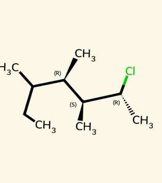 CCC(C)[C@@H](C)[C@H](C)[C@@H](C)Cl